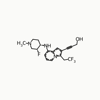 CN1CC[C@@H](Nc2cccn3c(CC(F)(F)F)c(C#CCO)cc23)[C@@H](F)C1